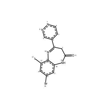 O=C1CC(c2ccnnc2)=Nc2c(I)cc(Br)cc2N1